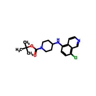 CC(C)(C)OC(=O)N1CCC(Nc2ccc(Cl)c3cnccc23)CC1